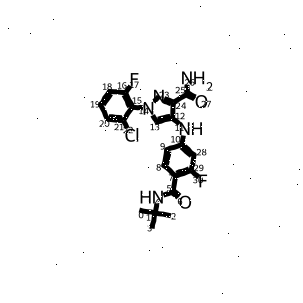 CC(C)(C)NC(=O)c1ccc(Nc2cn(-c3c(F)cccc3Cl)nc2C(N)=O)cc1F